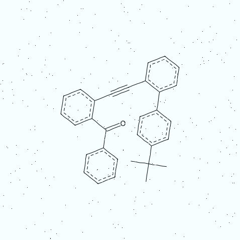 CC(C)(C)c1ccc(-c2ccccc2C#Cc2ccccc2C(=O)c2ccccc2)cc1